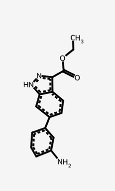 CCOC(=O)c1n[nH]c2cc(-c3cccc(N)c3)ccc12